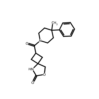 CC1(c2ccccc2)CCN(C(=O)C2CC3(COC(=O)N3)C2)CC1